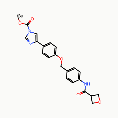 CC(C)(C)OC(=O)n1cnc(-c2ccc(OCc3ccc(NC(=O)C4COC4)cc3)cc2)c1